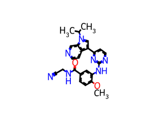 COc1ccc(C(=O)NCC#N)cc1Nc1nccc(-c2cn(C(C)C)c3cnccc23)n1